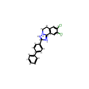 Clc1cc2c(cc1Cl)-c1nc(-c3ccc(-c4ccccc4)cc3)nn1CC2